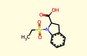 CCS(=O)(=O)N1c2ccccc2CC1C(=O)O